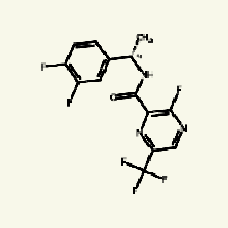 C[C@H](NC(=O)c1nc(C(F)(F)F)cnc1F)c1ccc(F)c(F)c1